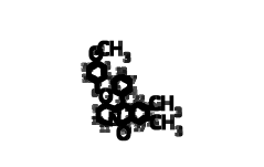 COc1ccc(COC2CCCn3c2c(-c2ccccc2)c2cc(C)c(C)cc2c3=O)cc1